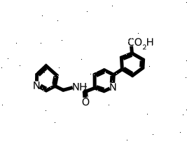 O=C(O)c1cccc(-c2ccc(C(=O)NCc3cccnc3)cn2)c1